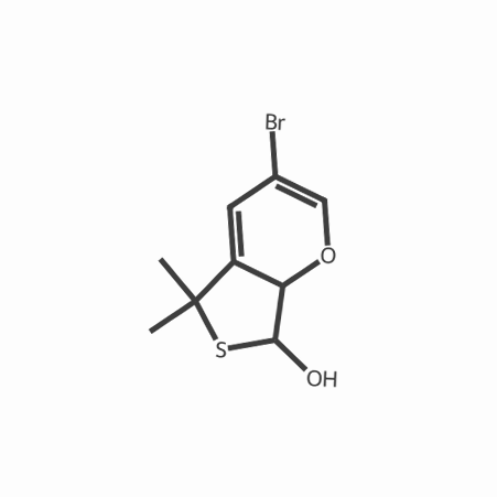 CC1(C)SC(O)C2OC=C(Br)C=C21